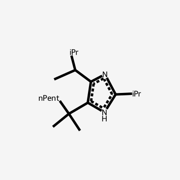 CCCCCC(C)(C)c1[nH]c(C(C)C)nc1C(C)C(C)C